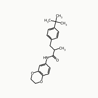 CC(Cc1ccc(C(C)(C)C)cc1)C(=O)Nc1ccc2c(c1)OCCO2